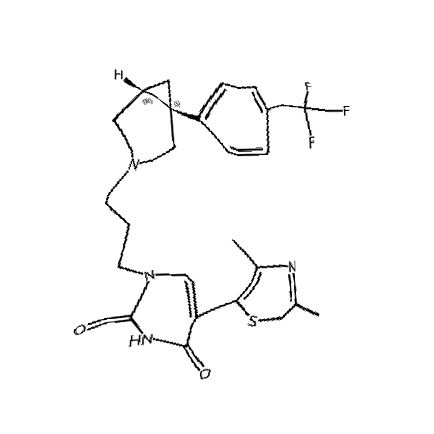 Cc1nc(C)c(-c2cn(CCCN3C[C@@H]4C[C@]4(c4ccc(C(F)(F)F)cc4)C3)c(=O)[nH]c2=O)s1